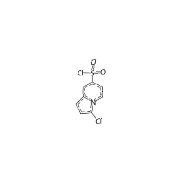 O=S(=O)(Cl)c1ccn2c(Cl)ccc2c1